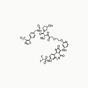 Cc1ncsc1-c1ccc(CNC(=O)[C@@H]2C[C@@H](O)CN2C(=O)[C@@H](NC(=O)COCCOc2cc(Nc3[nH]nc(-c4ccc(NS(=O)(=O)C(F)F)cc4)c3C(N)=O)ccn2)C(C)(C)C)cc1